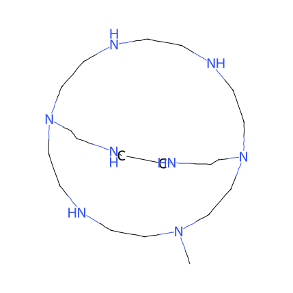 CN1CCNCCN2CCNCCNCCN(CCNCCNCC2)CC1